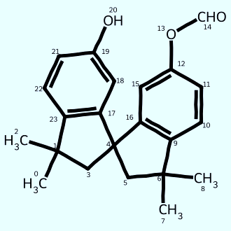 CC1(C)CC2(CC(C)(C)c3ccc(OC=O)cc32)c2cc(O)ccc21